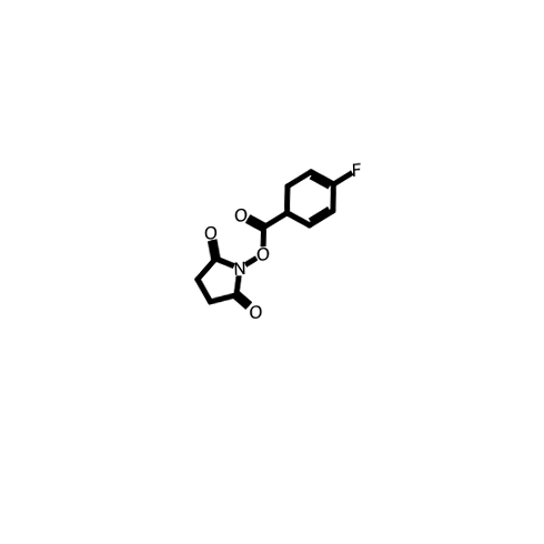 O=C(ON1C(=O)CCC1=O)C1C=CC(F)=CC1